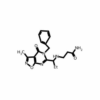 CCC(NCCC(N)=O)c1nc2onc(C)c2c(=O)n1Cc1ccccc1